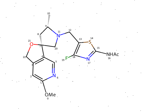 COc1cc2c(cn1)[C@@]1(C[C@H](C)N(Cc3sc(NC(C)=O)nc3F)C1)OC2